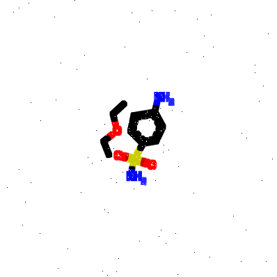 CCOCC.Nc1ccc(S(N)(=O)=O)cc1